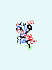 CC[C@H](C)[C@H](NC(=O)[C@H](Cc1ccc(O)cc1)NC(=O)[C@H]1CN(C(C)=O)CCO1)C(=O)N[C@@H](CCC(F)(F)F)C(=O)O